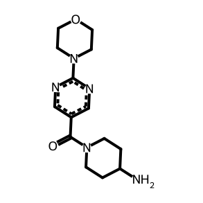 NC1CCN(C(=O)c2cnc(N3CCOCC3)nc2)CC1